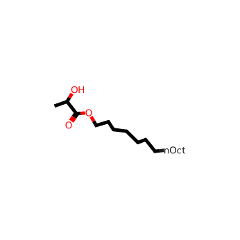 CCCCCCCCCCCCCCCOC(=O)C(C)O